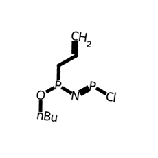 C=CCP(N=PCl)OCCCC